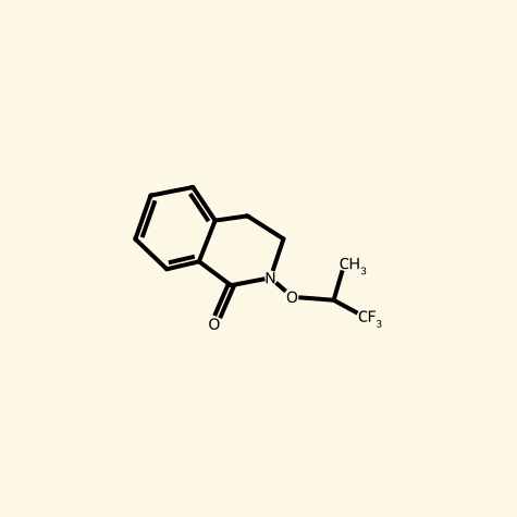 CC(ON1CCc2ccccc2C1=O)C(F)(F)F